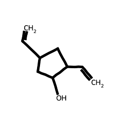 C=CC1CC(O)C(C=C)C1